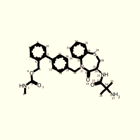 CNC(=O)OCc1ccccc1-c1ccc(CN2C(=O)[C@H](NC(=O)C(C)(C)N)CSc3ccccc32)cc1